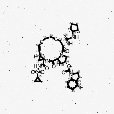 O=C1N[C@]2(C(=O)NS(=O)(=O)C3CC3)C[C@H]2/C=C\CCCCC[C@H](NC(=S)NC2CCCC2)C(=O)N2C[C@H](OC(=O)N3CCc4c(F)cccc43)C[C@@H]12